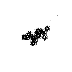 c1ccc(-c2nc(-c3ccccc3)nc(-c3cccc4sc5c(-c6nc(-c7cccc8c7oc7ccccc78)nc7c6oc6ccccc67)cccc5c34)n2)cc1